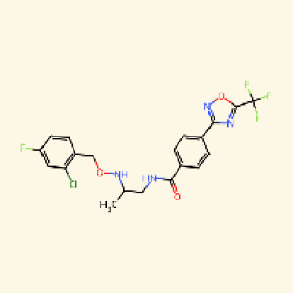 CC(CNC(=O)c1ccc(-c2noc(C(F)(F)F)n2)cc1)NOCc1ccc(F)cc1Cl